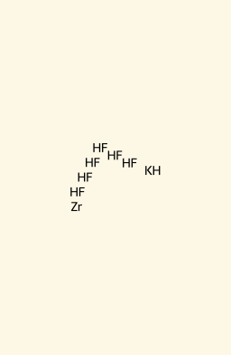 F.F.F.F.F.F.[KH].[Zr]